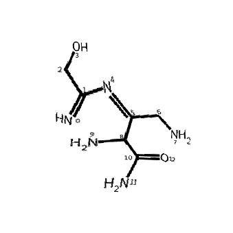 N=C(CO)N=C(CN)C(N)C(N)=O